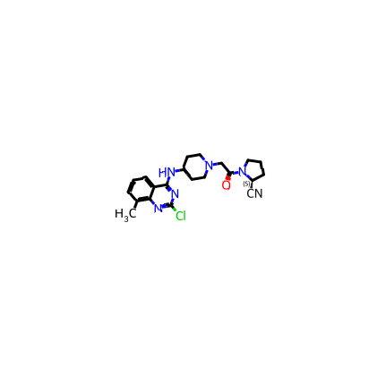 Cc1cccc2c(NC3CCN(CC(=O)N4CCC[C@H]4C#N)CC3)nc(Cl)nc12